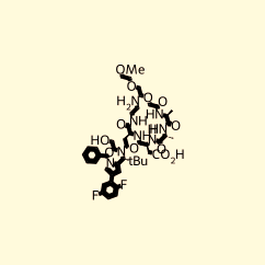 COCCOCCOCC(=O)N[C@@H](C)C(=O)N[C@H](C)C(=O)N[C@@H](CC(=O)O)C(=O)N[C@@H](CCN(C(=O)CO)[C@@H](c1cc(-c2cc(F)ccc2F)cn1Cc1ccccc1)C(C)(C)C)C(=O)NCCN